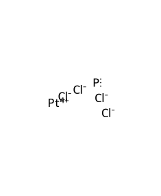 [Cl-].[Cl-].[Cl-].[Cl-].[P].[Pt+4]